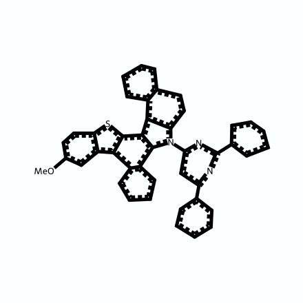 COc1ccc2sc3c(c2c1)c1ccccc1c1c3c2c3ccccc3ccc2n1-c1cc(-c2ccccc2)nc(-c2ccccc2)n1